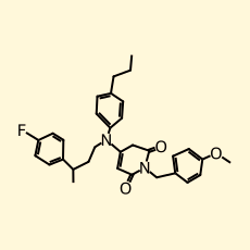 CCCc1ccc(N(CCC(C)c2ccc(F)cc2)C2=CC(=O)N(Cc3ccc(OC)cc3)C(=O)C2)cc1